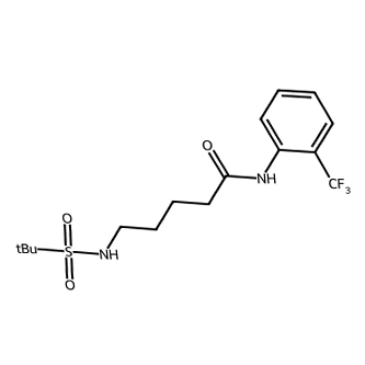 CC(C)(C)S(=O)(=O)NCCCCC(=O)Nc1ccccc1C(F)(F)F